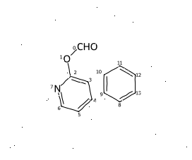 O=COc1ccccn1.c1ccccc1